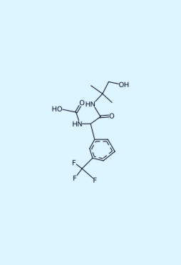 CC(C)(CO)NC(=O)C(NC(=O)O)c1cccc(C(F)(F)F)c1